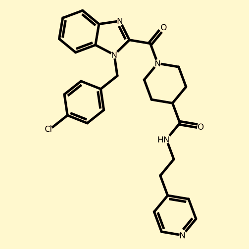 O=C(NCCc1ccncc1)C1CCN(C(=O)c2nc3ccccc3n2Cc2ccc(Cl)cc2)CC1